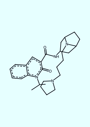 CC(C)n1c(=O)c(C(=O)NC2CC3CCC(C2)N3CCCCN2CCCC2)cc2ccccc21